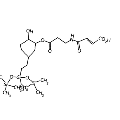 C[Si](C)(C)O[Si](C)(CCC1CCC(O)C(OC(=O)CCNC(=O)C=CC(=O)O)C1)O[Si](C)(C)C